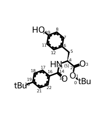 CC(C)(C)OC(=O)[C@H](Cc1ccc(O)cc1)NC(=O)c1ccc(C(C)(C)C)cc1